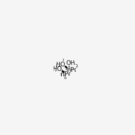 CCCO.CCCO.O